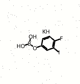 OB(O)Oc1ccc(F)c(I)c1.[KH]